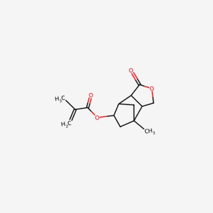 C=C(C)C(=O)OC1CC2(C)CC1C1C(=O)OCC12